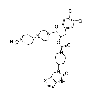 CN1CCC(N2CCN(C(=O)C(Cc3ccc(Cl)c(Cl)c3)OC(=O)N3CCC(N4Cc5sccc5NC4=O)CC3)CC2)CC1